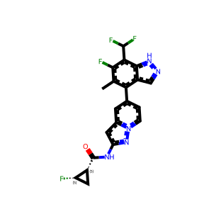 Cc1c(F)c(C(F)F)c2[nH]ncc2c1-c1ccn2nc(NC(=O)[C@@H]3C[C@@H]3F)cc2c1